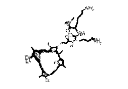 CCC1=C(C)c2cc3[nH]c(cc4nc(c(C)c5cc(C)c(cc1n2)[nH]5)[C@@H](CCC(=O)N[C@@H](CCCCN)C(=O)NC(CCCCN)C(=O)N(C)C)[C@@H]4C)c(C)c3CC